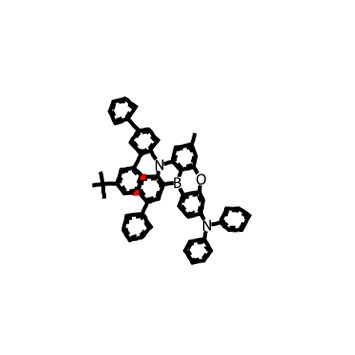 Cc1cc2c3c(c1)N(c1ccc(-c4ccccc4)cc1-c1cccc(C(C)(C)C)c1)c1ccc(-c4ccccc4)cc1B3c1ccc(N(c3ccccc3)c3ccccc3)cc1O2